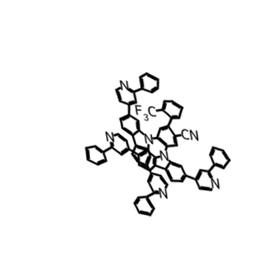 N#Cc1cc(-n2c3cc(-c4ccnc(-c5ccccc5)c4)ccc3c3ccc(-c4ccnc(-c5ccccc5)c4)cc32)c(-n2c3cc(-c4ccnc(-c5ccccc5)c4)ccc3c3ccc(-c4ccnc(-c5ccccc5)c4)cc32)cc1-c1ccccc1C(F)(F)F